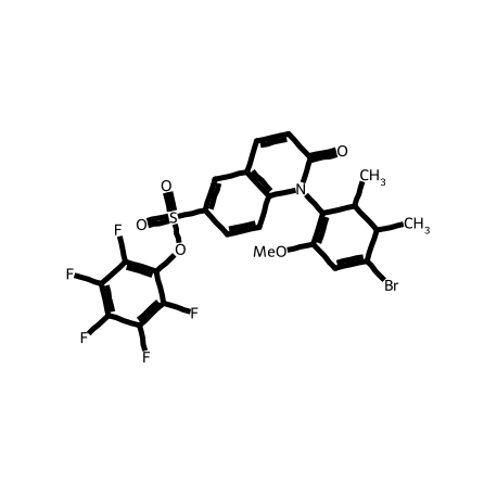 COC1=C(n2c(=O)ccc3cc(S(=O)(=O)Oc4c(F)c(F)c(F)c(F)c4F)ccc32)C(C)C(C)C(Br)=C1